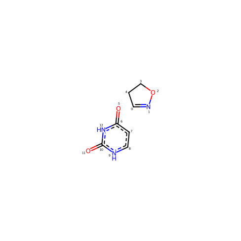 C1=NOCC1.O=c1cc[nH]c(=O)[nH]1